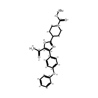 CC(C)(C)OC(=O)N1CCC(c2nc(-c3ccc(Oc4ccccc4)cc3)c(C(N)=O)o2)CC1